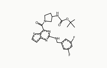 CC(C)(C)OC(=O)NC1CCN(C(=O)c2nc(NCc3cc(F)cc(F)c3)nc3ccsc23)C1